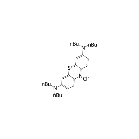 CCCCN(CCCC)c1ccc2nc3ccc(N(CCCC)CCCC)cc3[s+]c2c1.[Cl-]